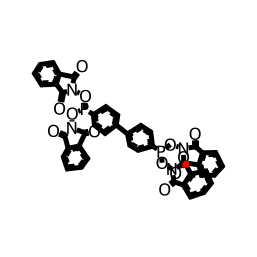 O=C1c2ccccc2C(=O)N1OP(ON1C(=O)c2ccccc2C1=O)c1ccc(-c2ccc(P(ON3C(=O)c4ccccc4C3=O)ON3C(=O)c4ccccc4C3=O)cc2)cc1